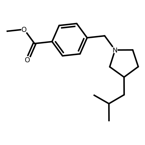 COC(=O)c1ccc(CN2CCC(CC(C)C)C2)cc1